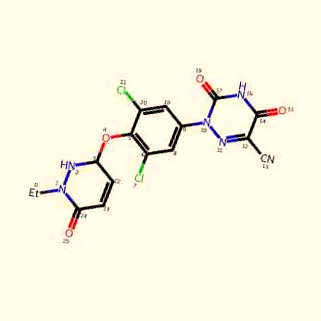 CCN1NC(Oc2c(Cl)cc(-n3nc(C#N)c(=O)[nH]c3=O)cc2Cl)C=CC1=O